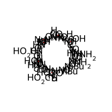 CCCC[C@H]1C(=O)N(C)[C@@H](CCCC)C(=O)N[C@@H](CCN)C(=O)N[C@H](C(=O)NCC(N)=O)CSCC(=O)N[C@@H](Cc2ccc(O)cc2)C(=O)N2CCCC[C@H]2C(=O)N[C@@H](CC(=O)O)C(=O)N2CCC[C@H]2C(=O)N[C@@H](Cc2cnc[nH]2)C(=O)N[C@@H](CCC(=O)O)C(=O)N2C[C@H](O)C[C@H]2C(=O)N[C@@H](Cc2c[nH]c3ccccc23)C(=O)N[C@@H](CO)C(=O)N[C@@H](Cc2cn(CC(=O)O)c3ccccc23)C(=O)N1C